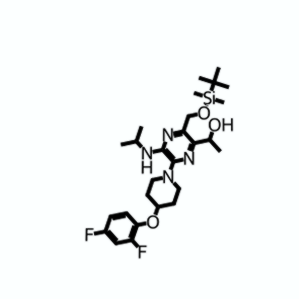 CC(C)Nc1nc(CO[Si](C)(C)C(C)(C)C)c(C(C)O)nc1N1CCC(Oc2ccc(F)cc2F)CC1